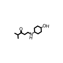 CC(C)C(=O)CCN[C@H]1CC[C@@H](O)CC1